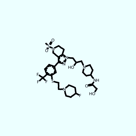 CS(=O)(=O)N1CCc2c(c(-c3ccc(C(F)(F)F)c(SCCN4CCC(F)CC4)c3)nn2CC(O)CN2CCC(NC(=O)CO)CC2)C1